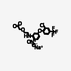 O=C([O-])COCCNc1cc(Oc2ccc(C(F)(F)F)cc2Cl)ccc1[N+](=O)[O-].[Na+]